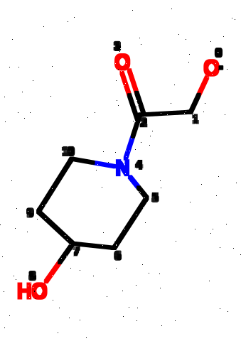 [O]CC(=O)N1CCC(O)CC1